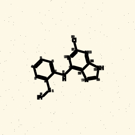 CC(C)Sc1ccccc1Nc1nc(Cl)nc2[nH]cnc12